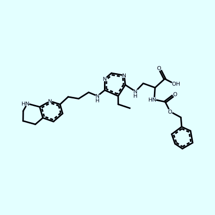 CCc1c(NCCCc2ccc3c(n2)NCCC3)ncnc1NCC(NC(=O)OCc1ccccc1)C(=O)O